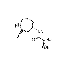 CCCC[C@H](CC)C(=O)N[C@H]1CCCNC(=O)C1